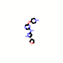 c1ncc(OC2CCNCC2)nc1Nc1cc([C@@H]2CCOC2)[nH]n1